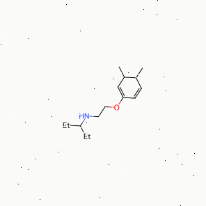 CCC(CC)NCCOC1=CC(C)C(C)C=C1